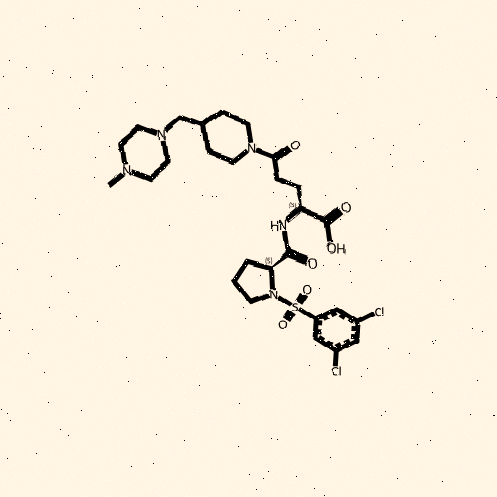 CN1CCN(CC2CCN(C(=O)CC[C@H](NC(=O)[C@@H]3CCCN3S(=O)(=O)c3cc(Cl)cc(Cl)c3)C(=O)O)CC2)CC1